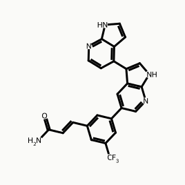 NC(=O)/C=C/c1cc(-c2cnc3[nH]cc(-c4ccnc5[nH]ccc45)c3c2)cc(C(F)(F)F)c1